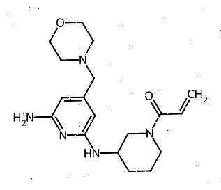 C=CC(=O)N1CCCC(Nc2cc(CN3CCOCC3)cc(N)n2)C1